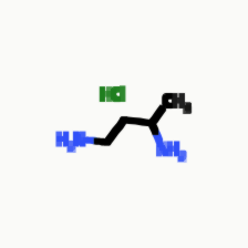 CC(N)CCN.Cl